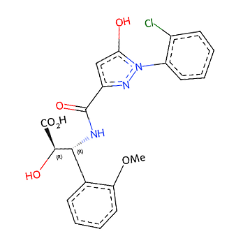 COc1ccccc1[C@@H](NC(=O)c1cc(O)n(-c2ccccc2Cl)n1)[C@@H](O)C(=O)O